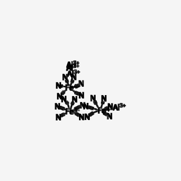 N#[C][Fe-4]([C]#N)([C]#N)([C]#N)([C]#N)[C]#N.N#[C][Fe-4]([C]#N)([C]#N)([C]#N)([C]#N)[C]#N.N#[C][Fe-4]([C]#N)([C]#N)([C]#N)([C]#N)[C]#N.[Al+3].[Al+3].[Al+3].[Al+3]